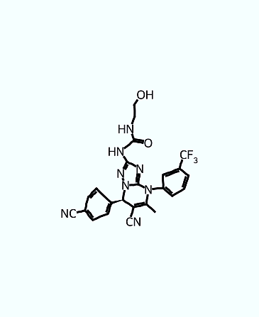 CC1=C(C#N)[C@@H](c2ccc(C#N)cc2)n2nc(NC(=O)NCCO)nc2N1c1cccc(C(F)(F)F)c1